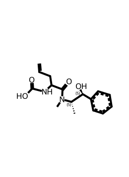 C=CCC(NC(=O)O)C(=O)N(C)[C@@H](C)[C@@H](O)c1ccccc1